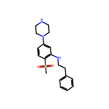 CS(=O)(=O)c1ccc(N2CCNCC2)cc1NCCc1ccccc1